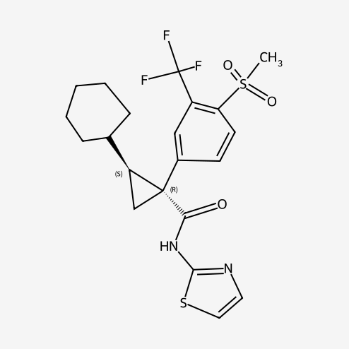 CS(=O)(=O)c1ccc([C@@]2(C(=O)Nc3nccs3)C[C@H]2C2CCCCC2)cc1C(F)(F)F